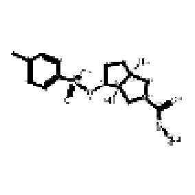 Cc1ccc(S(=O)(=O)O[C@H]2CC[C@H]3CN(C(=O)OC(C)(C)C)C[C@H]32)cc1